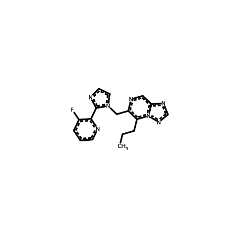 CCCc1c(Cn2ccnc2-c2ncccc2F)ncc2ncnn12